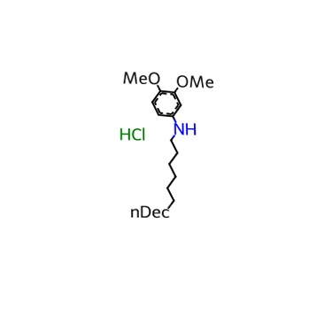 CCCCCCCCCCCCCCCCNc1ccc(OC)c(OC)c1.Cl